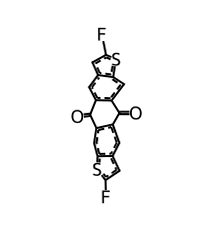 O=C1c2cc3cc(F)sc3cc2C(=O)c2cc3cc(F)sc3cc21